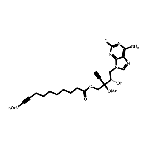 C#CC(COC(=O)CCCCCCCC#CCCCCCCCC)(OC)[C@@H](O)Cn1cnc2c(N)nc(F)nc21